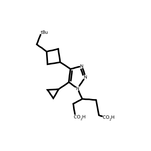 CC(C)(C)CC1CC(c2nnn(C(CCC(=O)O)CC(=O)O)c2C2CC2)C1